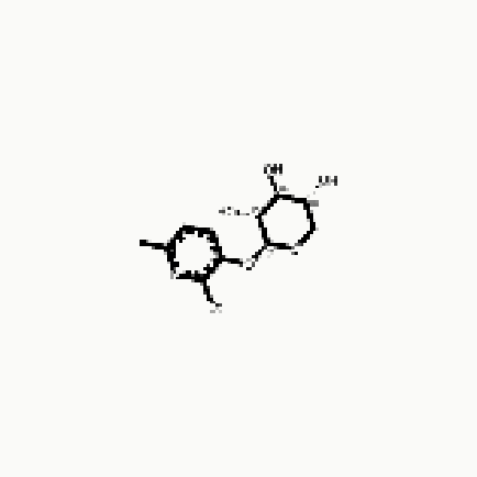 CCc1nc(C)ccc1O[C@@H]1SC[C@@H](O)[C@H](O)[C@H]1O